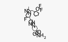 Cc1nc2cc(F)c(-c3cnc(N4CCC(S(N)(=O)=O)CC4)nc3)cn2c1Cc1ccccc1OC(F)F